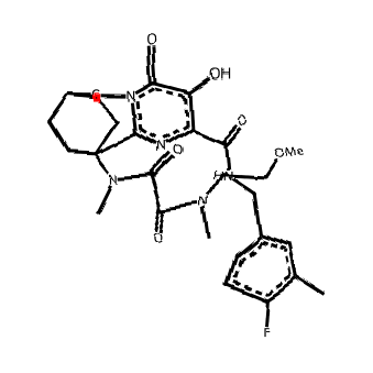 COCCN(C)C(=O)C(=O)N(C)C12CCC(CC1)Cn1c2nc(C(=O)NCc2ccc(F)c(C)c2)c(O)c1=O